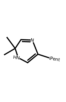 CCCC(C)C1=CNC(C)(C)C=N1